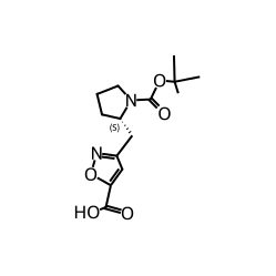 CC(C)(C)OC(=O)N1CCC[C@H]1Cc1cc(C(=O)O)on1